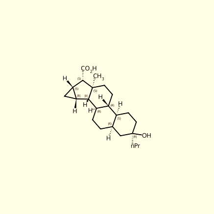 CCC[C@@]1(O)CC[C@H]2[C@H](CC[C@@H]3[C@@H]2CC[C@@]2(C)[C@H]3[C@@H]3C[C@@H]3[C@@H]2C(=O)O)C1